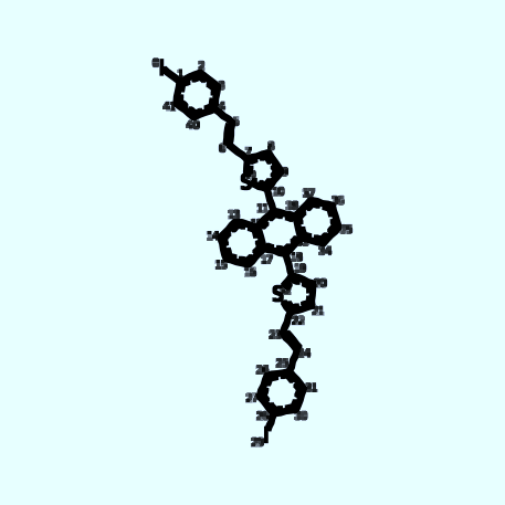 Ic1ccc(/C=C/c2ccc(-c3c4ccccc4c(-c4ccc(/C=C/c5ccc(I)cc5)s4)c4ccccc34)s2)cc1